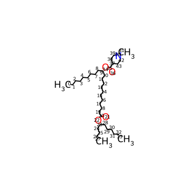 CCCCCCCCCC(CCCCCCCCCCC(=O)OC(CCCC)CCCCCC)OC(=O)C1CCN(C)CC1